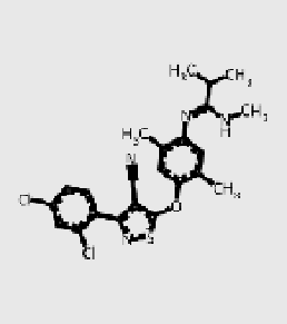 CNC(=Nc1cc(C)c(Oc2snc(-c3ccc(Cl)cc3Cl)c2C#N)cc1C)C(C)C